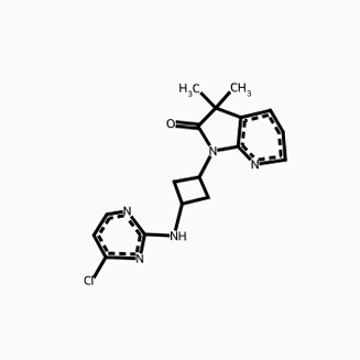 CC1(C)C(=O)N(C2CC(Nc3nccc(Cl)n3)C2)c2ncccc21